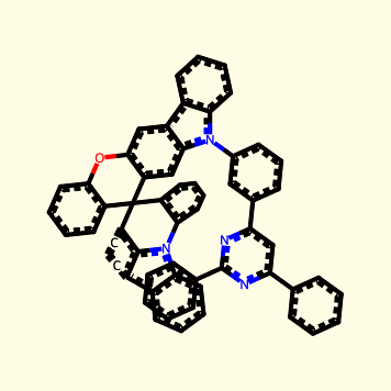 c1ccc(-c2cc(-c3cccc(-n4c5ccccc5c5cc6c(cc54)C4(c5ccccc5O6)c5ccccc5-n5c6ccccc6c6cccc4c65)c3)nc(-c3ccccc3)n2)cc1